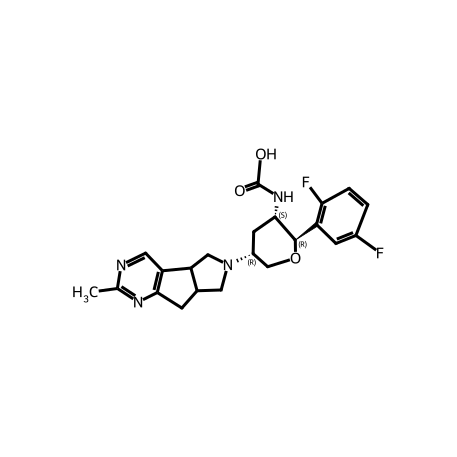 Cc1ncc2c(n1)CC1CN([C@H]3CO[C@H](c4cc(F)ccc4F)[C@@H](NC(=O)O)C3)CC21